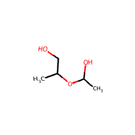 CC(O)OC(C)CO